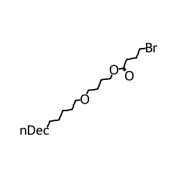 CCCCCCCCCCCCCCCOCCCCOC(=O)CCCBr